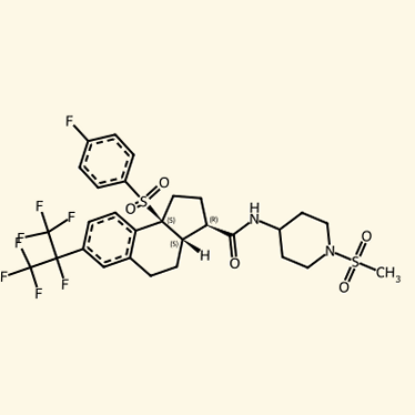 CS(=O)(=O)N1CCC(NC(=O)[C@@H]2CC[C@@]3(S(=O)(=O)c4ccc(F)cc4)c4ccc(C(F)(C(F)(F)F)C(F)(F)F)cc4CC[C@@H]23)CC1